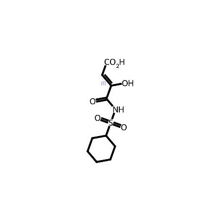 O=C(O)/C=C(\O)C(=O)NS(=O)(=O)C1CCCCC1